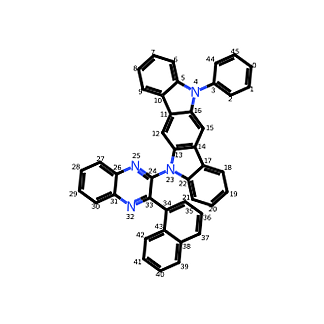 c1ccc(-n2c3ccccc3c3cc4c(cc32)c2ccccc2n4-c2nc3ccccc3nc2-c2cccc3ccccc23)cc1